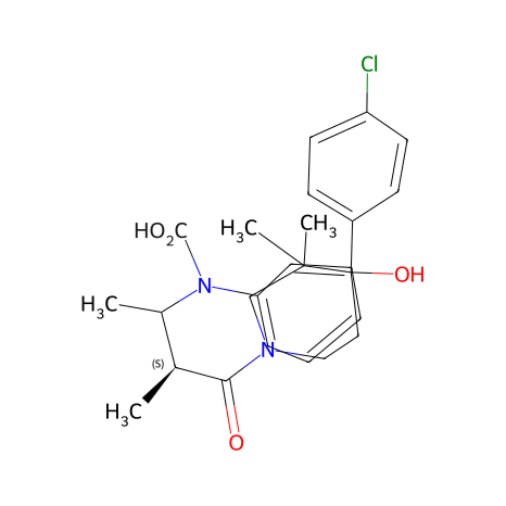 CC([C@H](C)C(=O)N1CCC(O)(c2ccc(Cl)cc2)C(C)(C)C1)N(C(=O)O)c1ccccc1